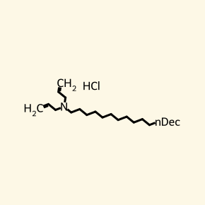 C=CCN(CC=C)CCCCCCCCCCCCCCCCCCCCC.Cl